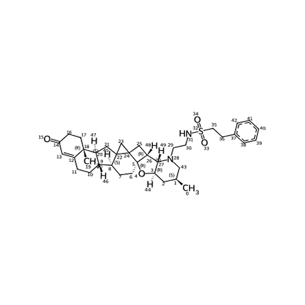 C[C@H]1C[C@H]2O[C@@]34CC[C@H]5[C@@H]6CCC7=CC(=O)CC[C@]7(C)[C@H]6CC56CC63C[C@@H]4[C@@H]2N(CCNS(=O)(=O)CCc2ccccc2)C1